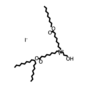 CCCCCCCCCOC(=O)CCCCCCC[N@+](C)(CCCO)CCCCCCCC(=O)OC(CCCCCCCC)CCCCCCCC.[I-]